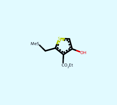 CCOC(=O)c1c(O)csc1CSC